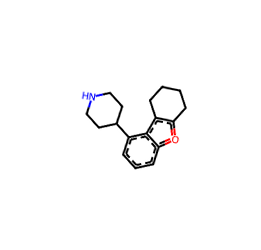 c1cc(C2CCNCC2)c2c3c(oc2c1)CCCC3